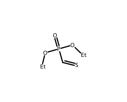 CCOP(=O)(C=S)OCC